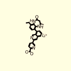 CCc1ccc(-c2cccc3cc(-c4ccc(C(=O)[O-])nc4)ncc23)c2c1NC(=O)C[C@@H](C)N2.[Li+]